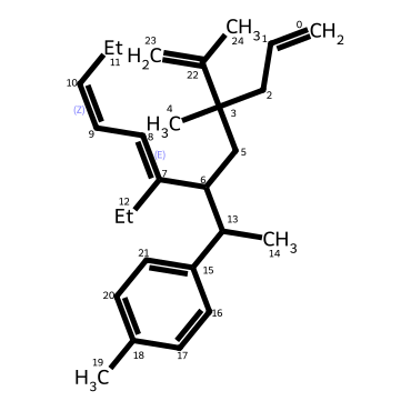 C=CCC(C)(CC(/C(=C/C=C\CC)CC)C(C)c1ccc(C)cc1)C(=C)C